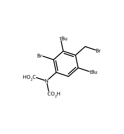 CC(C)(C)c1cc(N(C(=O)O)C(=O)O)c(Br)c(C(C)(C)C)c1CBr